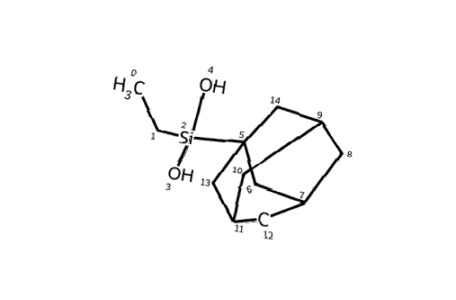 CC[Si](O)(O)C12CC3CC(CC(C3)C1)C2